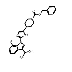 CC(C)c1nn(-c2ncc(C3CCN(C(=O)OCc4ccccc4)CC3)[nH]2)c2c(F)cccc12